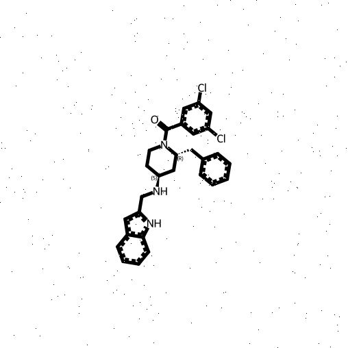 O=C(c1cc(Cl)cc(Cl)c1)N1CC[C@H](NCc2cc3ccccc3[nH]2)C[C@H]1Cc1ccccc1